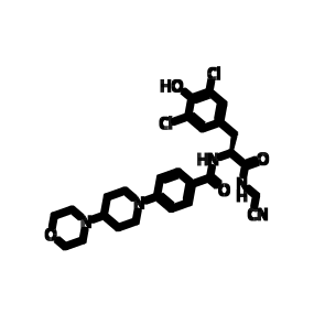 N#CCNC(=O)[C@H](Cc1cc(Cl)c(O)c(Cl)c1)NC(=O)c1ccc(N2CCC(N3CCOCC3)CC2)cc1